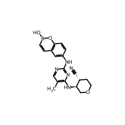 Cc1cnc(Nc2ccc3c(c2)C=CB(O)O3)nc1N[C@@H]1COCC[C@H]1C#N